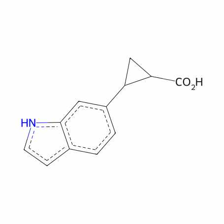 O=C(O)C1CC1c1ccc2cc[nH]c2c1